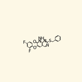 Nn1c(=O)c(Oc2ccc(F)cc2F)cc2cnc(SCc3ccccc3)nc21